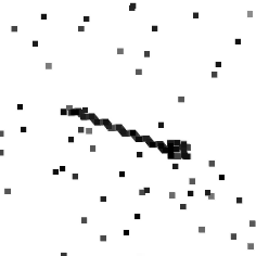 [CH]=CCCCCCCCCCCC/C=C/CC